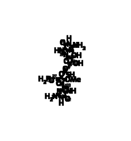 COC1C(OP(S)OC[C@H]2O[C@@H](N3CNc4c3nc(N)[nH]c4=O)C(O)C2O)[C@@H](COP)O[C@H]1N1CNc2c1nc(N)[nH]c2=O